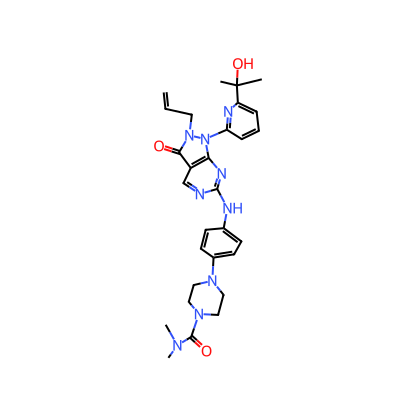 C=CCn1c(=O)c2cnc(Nc3ccc(N4CCN(C(=O)N(C)C)CC4)cc3)nc2n1-c1cccc(C(C)(C)O)n1